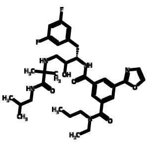 CCCN(CC)C(=O)c1cc(C(=O)N[C@@H](Cc2cc(F)cc(F)c2)C(O)CNC(C)(C)C(=O)NCC(C)C)cc(-c2ncco2)c1